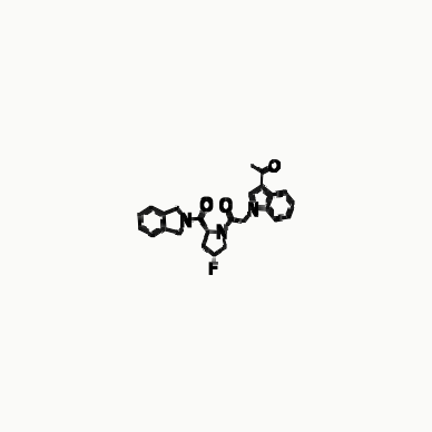 CC(=O)c1cn(CC(=O)N2C[C@H](F)C[C@H]2C(=O)N2Cc3ccccc3C2)c2ccccc12